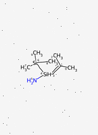 CC(C)=C[SiH](N)[Si](C)(C)C